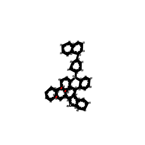 c1ccc(-c2ccc(N(c3ccc(-c4cccc5ccccc45)cc3)c3ccccc3-c3cc4ccccc4c4oc5ccccc5c34)cc2)cc1